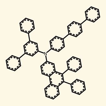 c1ccc(-c2ccc(-c3ccc(N(c4cc(-c5ccccc5)cc(-c5ccccc5)c4)c4ccc5c(c4)c(-c4ccccc4)c(-c4ccccc4)c4ccccc45)cc3)cc2)cc1